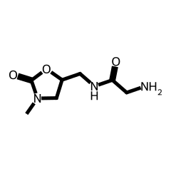 CN1CC(CNC(=O)CN)OC1=O